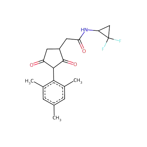 Cc1cc(C)c(C2C(=O)CC(CC(=O)NC3CC3(F)F)C2=O)c(C)c1